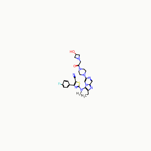 CCc1nc2cnc(N3CCN(C(=O)CN4CC(O)C4)CC3)cn2c1N(C)c1nc(-c2ccc(F)cc2)c(C#N)s1